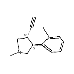 C#C[C@H]1CN(C)C[C@@H]1c1ccccc1C